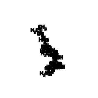 C=C(C)CC(=O)SCCNC(=O)CCNC(=O)C(O)C(C)(C)COP(=O)(O)OP(=O)(O)OC[C@H]1O[C@@H](n2cnc3c(N)ncnc32)[C@H](O)[C@@H]1OP(=O)(O)O